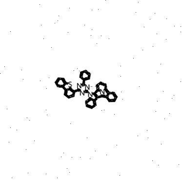 c1ccc(-c2nc(-c3cccc4c3sc3ccccc34)nc(-n3c4ccccc4c4c3c3cccc5c6ccccc6c4n53)n2)cc1